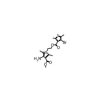 COC(=O)C1=C(C)[SH](CCOC(=O)c2c(C)sc(C)c2Br)C(C)=C1N